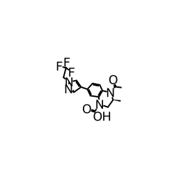 CC(=O)N1c2ccc(-c3cnn(CC(F)(F)F)c3)cc2N(C(=O)O)C[C@@H]1C